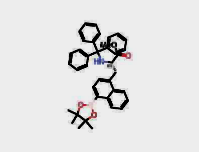 COC(=O)[C@H](Cc1ccc(B2OC(C)(C)C(C)(C)O2)c2ccccc12)NC(c1ccccc1)(c1ccccc1)c1ccccc1